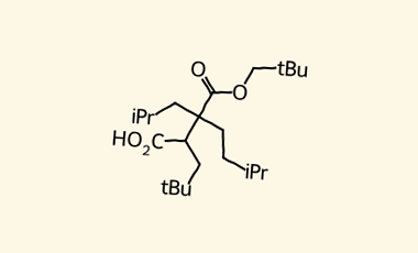 CC(C)CCC(CC(C)C)(C(=O)OCC(C)(C)C)C(CC(C)(C)C)C(=O)O